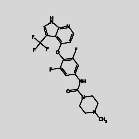 CN1CCN(C(=O)Nc2cc(F)c(Oc3ccnc4[nH]cc(C(F)(F)F)c34)c(F)c2)CC1